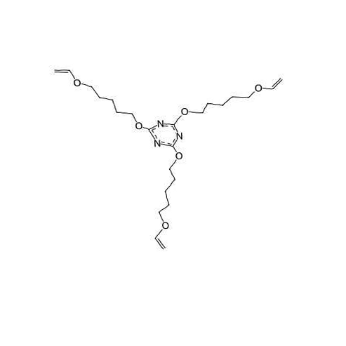 C=COCCCCCOc1nc(OCCCCCOC=C)nc(OCCCCCOC=C)n1